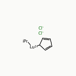 C[CH](C)[Lu+2][CH]1C=CC=C1.[Cl-].[Cl-]